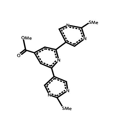 COC(=O)c1cc(-c2cnc(SC)nc2)nc(-c2cnc(SC)nc2)c1